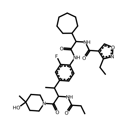 CCC(=O)NC(C(=O)N1CCC(C)(O)CC1)C(C)c1ccc(NC(=O)C(NC(=O)c2conc2CC)C2CCCCCC2)c(F)c1